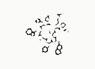 CCNC(=O)[C@@H]1CCCN1C(=O)[C@H](CCCNC(=N)N)NC(=O)[C@H](CC(C)C)NC(=O)[C@@H](Cc1ccc2ccccc2c1)NC(=O)[C@H](Cc1ccc(O)cc1)NC(=O)[C@H](CO)NC(=O)[C@H](Cc1c[nH]c2ccccc12)NC(=O)[C@H](Cc1c[nH]cn1)NC(=O)[C@@H]1CCC(=O)N1